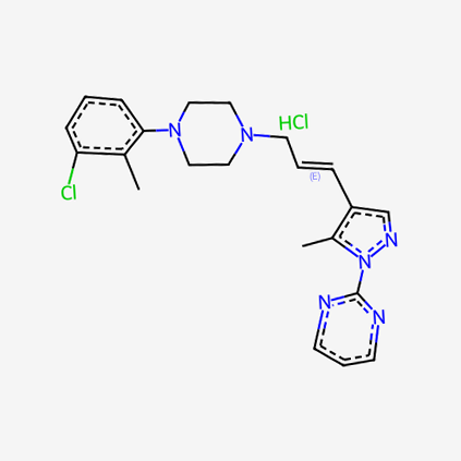 Cc1c(Cl)cccc1N1CCN(C/C=C/c2cnn(-c3ncccn3)c2C)CC1.Cl